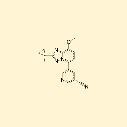 COc1ccc(-c2cncc(C#N)c2)n2nc(C3(C)CC3)nc12